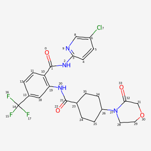 O=C(Nc1ccc(Cl)cn1)c1ccc(C(F)(F)F)cc1NC(=O)C1CCC(N2CCOCC2=O)CC1